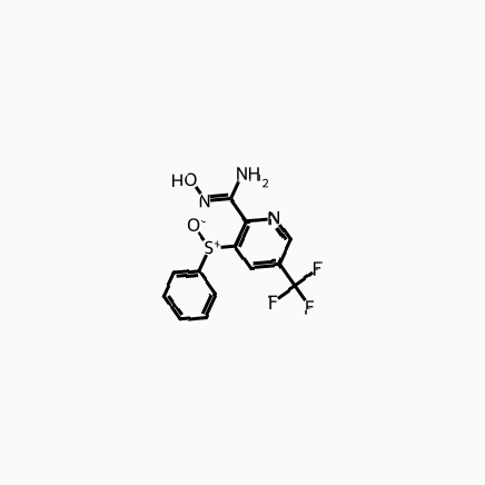 NC(=NO)c1ncc(C(F)(F)F)cc1[S+]([O-])c1ccccc1